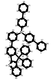 c1ccc(-c2ccc(N(c3ccc(-c4ccccc4)cc3)c3cccc(-c4ccc5c(c4)C(c4ccccc4)(c4ccccc4)c4c-5sc5ccccc45)c3)cc2)cc1